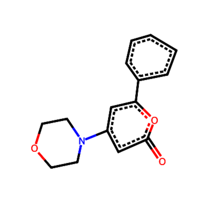 O=c1cc(N2CCOCC2)cc(-c2ccccc2)o1